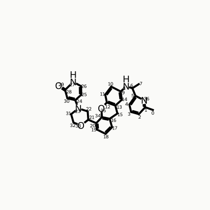 Cc1cccc(C(C)Nc2ccc3c(c2)Cc2cccc(C4CN(c5cc[nH]c(=O)c5)CCO4)c2O3)n1